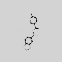 Br.C[C@@H](NC(=O)c1ccc(Cl)nc1)c1ccc2c(c1)CCN2